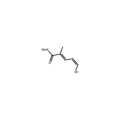 CNC(=O)/C(C)=C/C=C\S